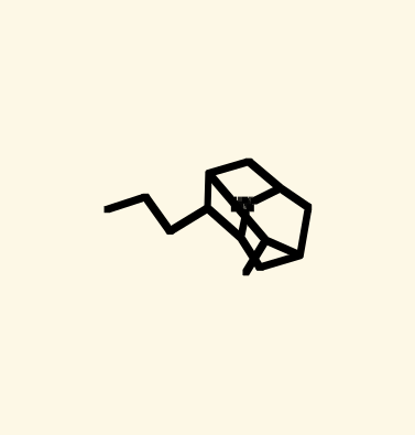 CCCC1C2CC3CC(CC1C3C)N2